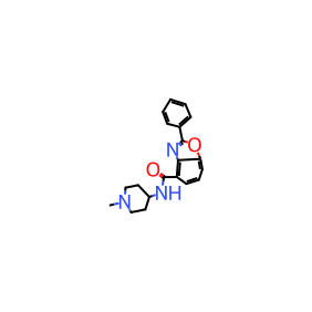 CN1CCC(NC(=O)c2cccc3oc(-c4ccccc4)nc23)CC1